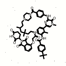 Cc1c(NC(=O)c2ccc(C(C)(C)C)cc2)cccc1-c1cn(C)c(=O)c(Nc2ccc(C(=O)N3CCN(CCC(C)CC(C)(C)CCNC(=O)COc4cccc5c4C(=O)N(C4CCC(=O)NC4=O)C5=O)CC3)cc2)n1